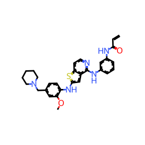 C=CC(=O)Nc1cccc(Nc2nccc3sc(Nc4ccc(CN5CCCCC5)cc4OC)cc23)c1